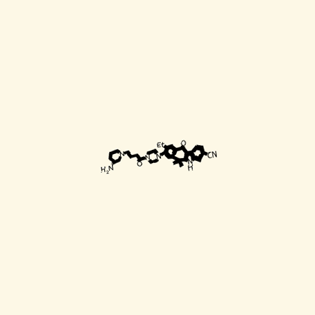 CCc1cc2c(cc1N1CCN(C(=O)CCCN3CCC[C@@H](N)C3)CC1)C(C)(C)c1[nH]c3cc(C#N)ccc3c1C2=O